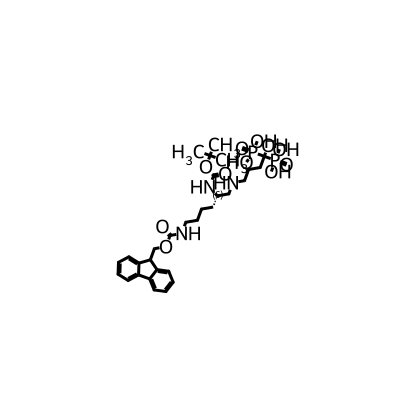 CC(C)(C)OC(=O)N[C@@H](CCCCNC(=O)OCC1c2ccccc2-c2ccccc21)CNCCCC(O)(P(=O)(O)O)P(=O)(O)O